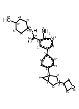 Nc1ncc(-c2ccc(C34CC3CN(C3COC3)C4)cc2)cc1C(=O)NC1CCC(O)CC1